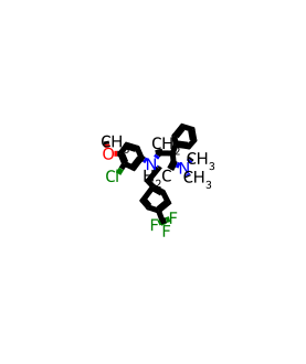 C=C(C(C(=C)N(CCc1ccc(C(F)(F)F)cc1)c1ccc(OC)c(Cl)c1)c1ccccc1)N(C)C